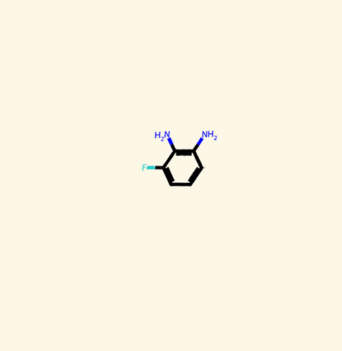 Nc1[c]ccc(F)c1N